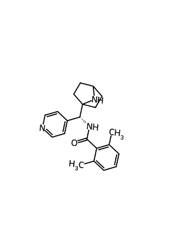 Cc1cccc(C)c1C(=O)N[C@H](c1ccncc1)C12CCC(CC1)N2